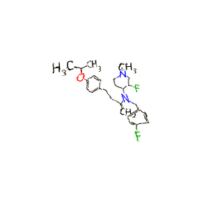 C=C(CCc1ccc(OC(C)C)cc1)N(Cc1ccc(F)cc1)C1CCN(C)CC1F